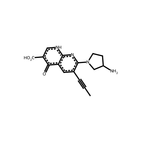 CC#Cc1cc2c(=O)c(C(=O)O)c[nH]c2nc1N1CCC(N)C1